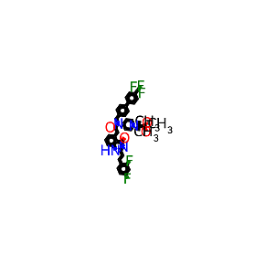 COC(=O)C(C)(C)N1CCC(N(Cc2ccc(-c3ccc(C(F)(F)F)cc3)cc2)C(=O)Cc2cccc3[nH]c(CCc4ccc(F)cc4F)nc(=O)c23)CC1